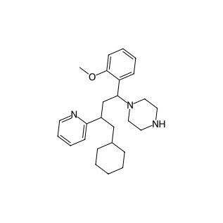 COc1ccccc1C(CC(CC1CCCCC1)c1ccccn1)N1CCNCC1